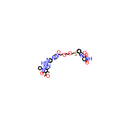 CC(=O)c1c(C)c2cnc(Nc3ccc(N4CCN(C(=O)CCOCCOCCSc5cccc6c5CN(C5CCC(=O)NC5=O)C6=O)CC4)cn3)nc2n(C2CCCC2)c1=O